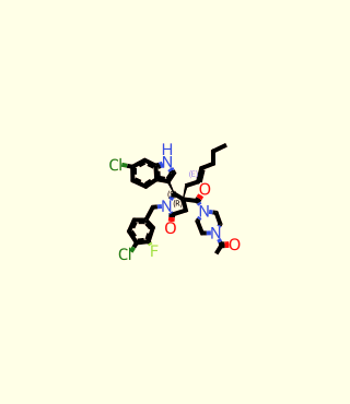 CCC/C=C/C[C@@]1(C(=O)N2CCN(C(C)=O)CC2)CC(=O)N(Cc2ccc(Cl)c(F)c2)[C@H]1c1c[nH]c2cc(Cl)ccc12